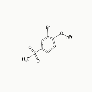 CCCOc1ccc(S(C)(=O)=O)cc1Br